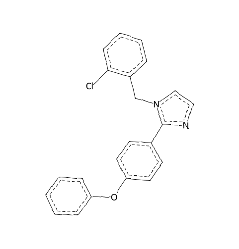 Clc1ccccc1Cn1ccnc1-c1ccc(Oc2ccccc2)cc1